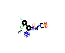 CCCc1nnnn1-c1cc(C(=O)N[C@H](C)CN2CCS(=O)(=O)CC2)cc(-c2ccc(F)cc2Cl)c1